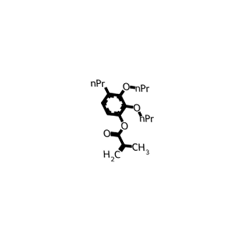 C=C(C)C(=O)Oc1ccc(CCC)c(OCCC)c1OCCC